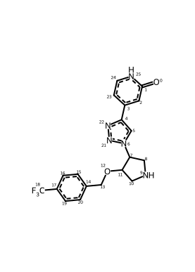 O=c1cc(-c2cn(C3CNCC3OCc3ccc(C(F)(F)F)cc3)nn2)cc[nH]1